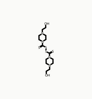 OCCN1CCN(C(=S)SSC(=S)N2CCN(CCO)CC2)CC1